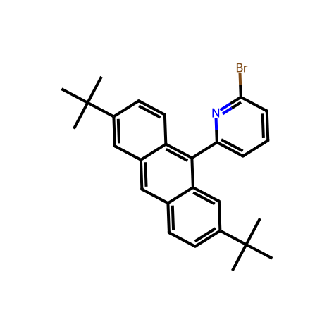 CC(C)(C)c1ccc2c(-c3cccc(Br)n3)c3cc(C(C)(C)C)ccc3cc2c1